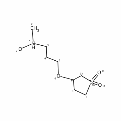 C[SiH]([O])CCCOC1CCS(=O)(=O)C1